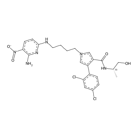 C[C@@H](CO)NC(=O)c1cn(CCCCNc2ccc([N+](=O)[O-])c(N)n2)cc1-c1ccc(Cl)cc1Cl